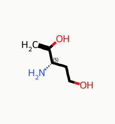 C=C(O)[C@@H](N)CCO